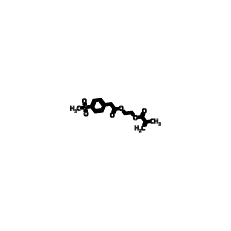 C=C(C)C(=O)OCCOC(=O)Cc1ccc(S(C)(=O)=O)cc1